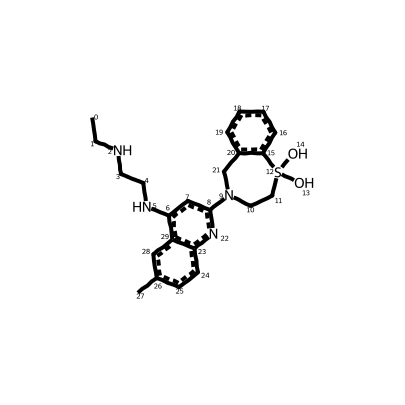 CCNCCNc1cc(N2CCS(O)(O)c3ccccc3C2)nc2ccc(C)cc12